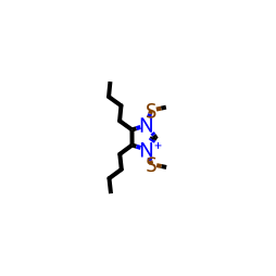 CCCCC1C(CCCC)[N+](SC)=CN1SC